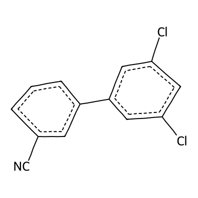 N#Cc1cccc(-c2cc(Cl)cc(Cl)c2)c1